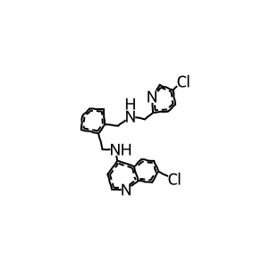 Clc1ccc(CNCc2ccccc2CNc2ccnc3cc(Cl)ccc23)nc1